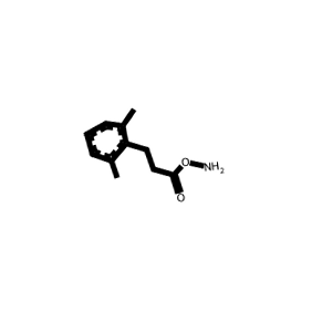 Cc1cccc(C)c1CCC(=O)ON